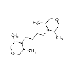 CC1COCC(C)N1CCCCN1C(C)COCC1C